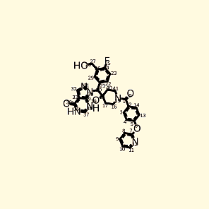 O=C(c1ccc(Oc2ccccn2)cc1)N1CCC(O)(C(c2ccc(F)c(CO)c2)n2ncc3c(=O)[nH]cnc32)CC1